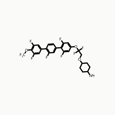 CCCC1CCC(OCC(F)(F)Oc2cc(F)c(-c3ccc(-c4cc(F)c(OC(F)(F)F)c(F)c4)c(F)c3)c(F)c2)CC1